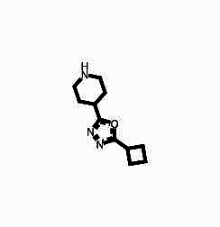 C1CC(c2nnc(C3CCNCC3)o2)C1